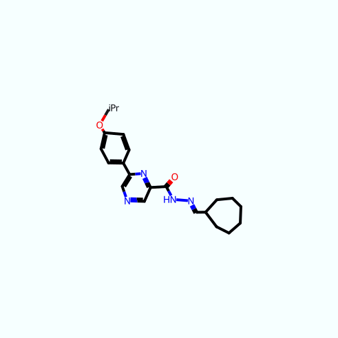 CC(C)Oc1ccc(-c2cncc(C(=O)NN=CC3CCCCCC3)n2)cc1